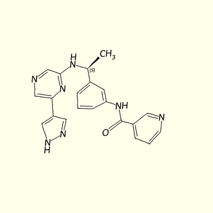 C[C@H](Nc1cncc(-c2cn[nH]c2)n1)c1cccc(NC(=O)c2cccnc2)c1